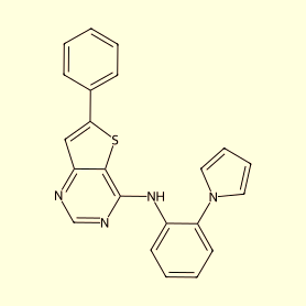 c1ccc(-c2cc3ncnc(Nc4ccccc4-n4cccc4)c3s2)cc1